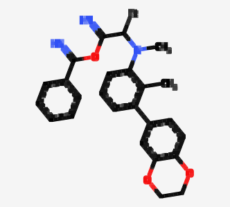 CCC(C(=N)OC(=N)c1ccccc1)N(C)c1cccc(-c2ccc3c(c2)OCCO3)c1C